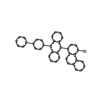 Brc1ccc(-c2c3ccccc3c(-c3ccc(-c4ccccc4)cc3)c3ccccc23)c2ccc3ccccc3c12